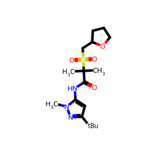 Cn1nc(C(C)(C)C)cc1NC(=O)C(C)(C)S(=O)(=O)CC1CCCO1